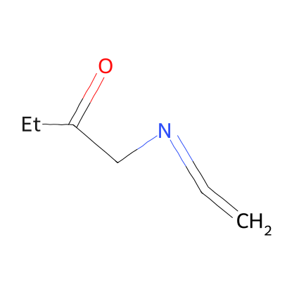 C=C=NCC(=O)CC